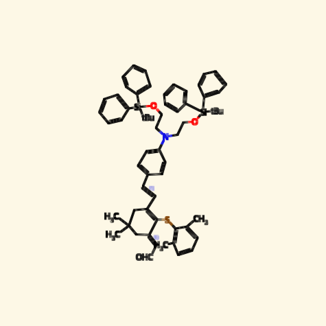 Cc1cccc(C)c1SC1=C(/C=C/c2ccc(N(CCO[Si](c3ccccc3)(c3ccccc3)C(C)(C)C)CCO[Si](c3ccccc3)(c3ccccc3)C(C)(C)C)cc2)CC(C)(C)C/C1=C\C=O